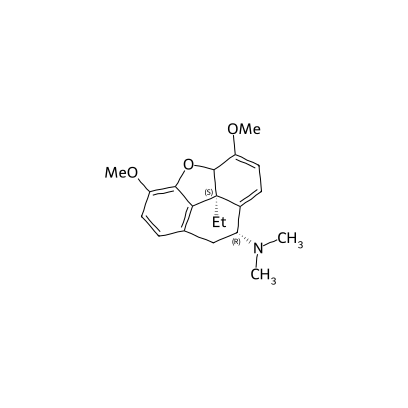 CC[C@@]12C3=CC=C(OC)C1Oc1c(OC)ccc(c12)C[C@H]3N(C)C